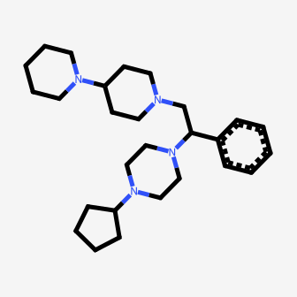 c1ccc(C(CN2CCC(N3CCCCC3)CC2)N2CCN(C3CCCC3)CC2)cc1